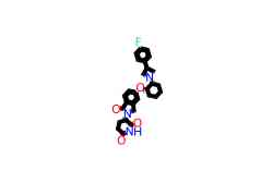 O=C1CC[C@@H](N2Cc3cc(O[C@@H]4CCCC[C@@H]4N4CC(c5ccc(F)cc5)C4)ccc3C2=O)C(=O)N1